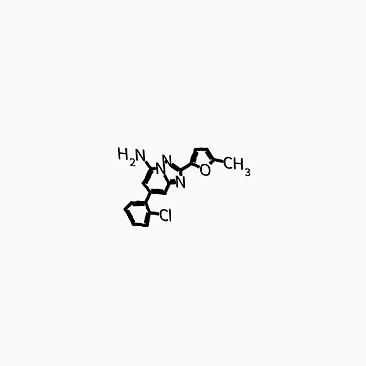 Cc1ccc(-c2nc3cc(-c4ccccc4Cl)cc(N)n3n2)o1